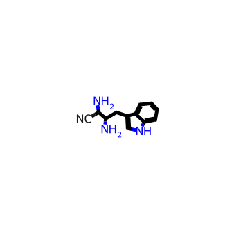 N#CC(N)C(N)Cc1c[nH]c2ccccc12